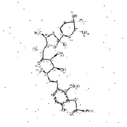 CCCCCC(=O)Oc1c(C)ccc(CC[C@@H](C)[C@H](O)[C@H](C)C(=O)[C@H](CC)[C@H]2O[C@](CC)([C@H]3CC[C@](O)(CC)[C@H](C)O3)C[C@@H]2C)c1C(=O)O